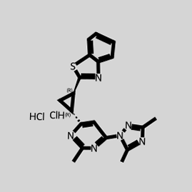 Cc1nc([C@@H]2C[C@H]2c2nc3ccccc3s2)cc(-n2nc(C)nc2C)n1.Cl.Cl